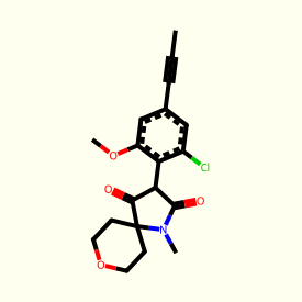 CC#Cc1cc(Cl)c(C2C(=O)N(C)C3(CCOCC3)C2=O)c(OC)c1